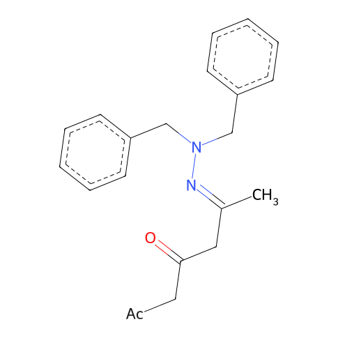 CC(=O)CC(=O)C/C(C)=N/N(Cc1ccccc1)Cc1ccccc1